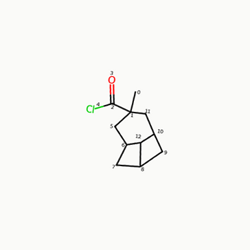 CC1(C(=O)Cl)CC2CC3CC(C1)C32